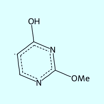 COc1nc[c]c(O)n1